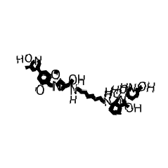 COc1cc(C2=CN(C)C(O)C(C)=C2)cc(OC)c1CN1CC(C(O)NCCCCCCCCNc2cccc3c2C(O)N(C2CCC(O)NC2O)C3O)C1